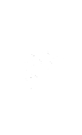 C[N+](C)(C)[C@@H](Cc1c[nH]c(S(=O)(=O)C[C@H](N)C(=O)O)n1)C(=O)[O-]